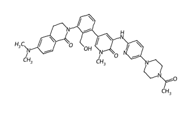 CC(=O)N1CCN(c2ccc(Nc3cc(-c4cccc(N5CCc6cc(N(C)C)ccc6C5=O)c4CO)cn(C)c3=O)nc2)CC1